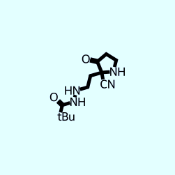 CC(C)(C)C(=O)NNCCC1(C#N)NCCC1=O